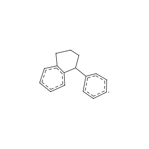 [c]1ccc(C2CCCc3ccccc32)cc1